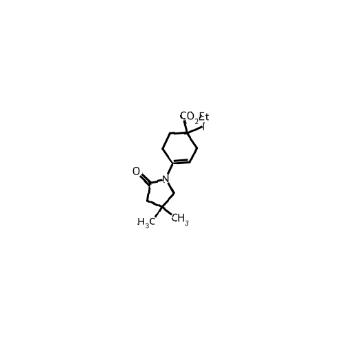 CCOC(=O)C1(I)CC=C(N2CC(C)(C)CC2=O)CC1